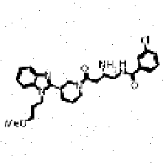 COCCCn1c([C@@H]2CCCN(C(=O)C[C@H](N)CNC(=O)c3cccc(Cl)c3)C2)nc2ccccc21